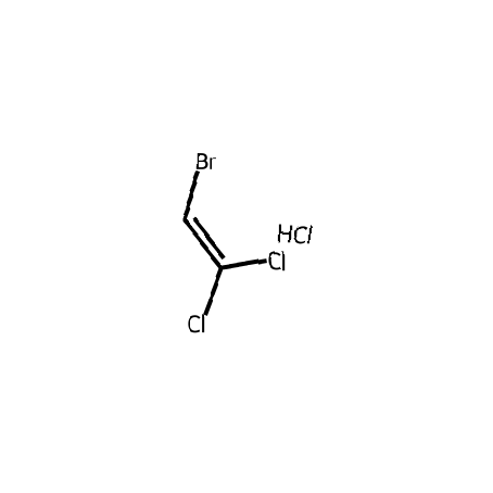 Cl.ClC(Cl)=CBr